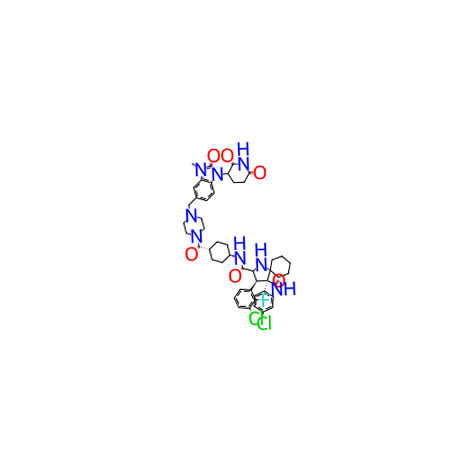 Cn1c(=O)n(C2CCC(=O)NC2=O)c2ccc(CN3CCN(C(=O)[C@H]4CC[C@H](NC(=O)C5NC6(CCCCC6)[C@@]6(C(=O)Nc7cc(Cl)ccc76)[C@H]5c5cccc(Cl)c5F)CC4)CC3)cc21